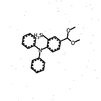 COC(OC)c1ccc(N(c2ccccc2)c2ccccc2)c([SiH3])c1